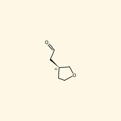 O=CC[C@@H]1CCOC1